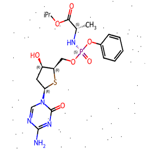 CC(C)OC(=O)[C@H](C)N[P@](=O)(OC[C@H]1S[C@@H](n2cnc(N)nc2=O)C[C@H]1O)Oc1ccccc1